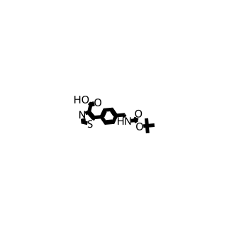 CC(C)(C)OC(=O)NCc1ccc(-c2scnc2C(=O)O)cc1